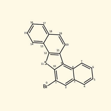 Brc1cc2ccccc2c2c1sc1c3ccccc3ccc12